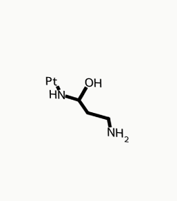 NCCC(O)[NH][Pt]